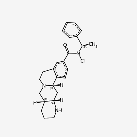 C[C@H](c1ccccc1)N(Cl)C(=O)c1ccc2c(c1)CCN1C[C@H]3CCCN[C@H]3C[C@@H]21